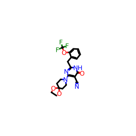 N#Cc1c(N2CCC3(CC2)OCCO3)nc(Cc2ccccc2OC(F)(F)F)[nH]c1=O